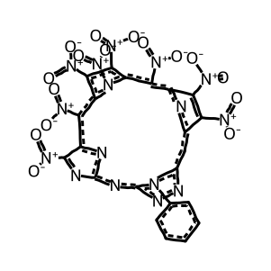 O=[N+]([O-])C1=Nc2nc1c([N+](=O)[O-])c1c([N+](=O)[O-])c([N+](=O)[O-])c(c([N+](=O)[O-])c3nc(cc4nnc(n2)n4-c2ccccc2)C([N+](=O)[O-])=C3[N+](=O)[O-])n1[N+](=O)[O-]